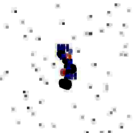 NC1CCN(C(=O)Cc2cn3c(C(=O)NCC45CC6CC(CC(C6)C4)C5)cccc3n2)C1